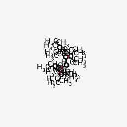 CC(C)(C)c1ccc(OP(=O)(Oc2ccc(C(C)(C)C)cc2C(C)(C)C)c2ccc(-c3cccc(P(=O)(Oc4ccc(C(C)(C)C)cc4C(C)(C)C)Oc4ccc(C(C)(C)C)cc4C(C)(C)C)c3)cc2)c(C(C)(C)C)c1